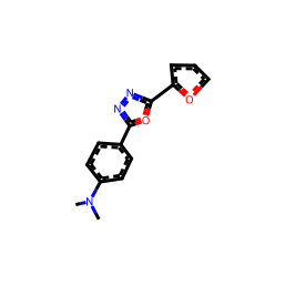 CN(C)c1ccc(-c2nnc(-c3ccco3)o2)cc1